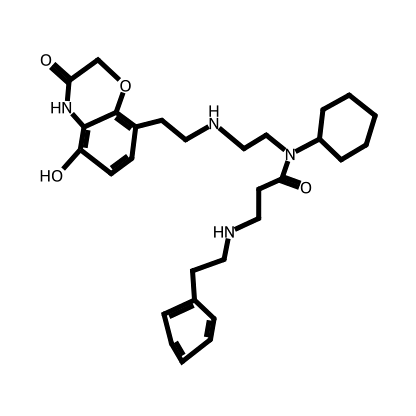 O=C1COc2c(CCNCCN(C(=O)CCNCCc3ccccc3)C3CCCCC3)ccc(O)c2N1